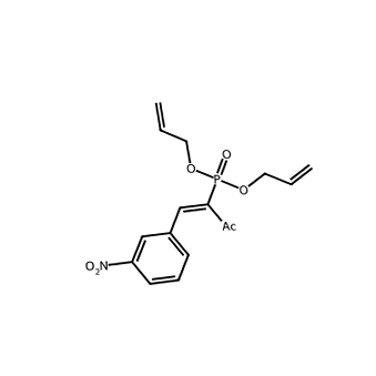 C=CCOP(=O)(OCC=C)/C(=C/c1cccc([N+](=O)[O-])c1)C(C)=O